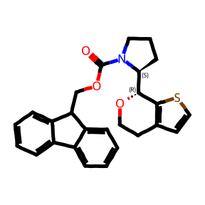 O=C(OCC1c2ccccc2-c2ccccc21)N1CCC[C@H]1[C@H]1OCCc2ccsc21